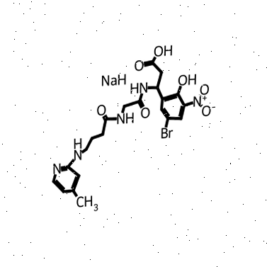 Cc1ccnc(NCCCC(=O)NCC(=O)NC(CC(=O)O)c2cc(Br)cc([N+](=O)[O-])c2O)c1.[NaH]